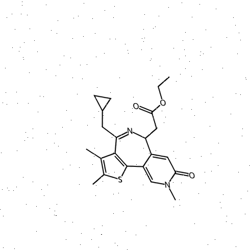 CCOC(=O)CC1N=C(CC2CC2)c2c(sc(C)c2C)-c2cn(C)c(=O)cc21